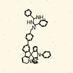 NC(N/C(=N\Cc1ccc(-c2ccc3c(c2)C2(C4=C3C=CCN4)c3ccccc3N(c3ccccc3)c3ccccc32)cc1)c1ccccc1)c1ccccc1